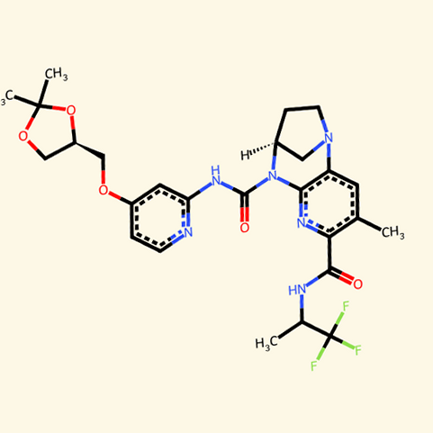 Cc1cc2c(nc1C(=O)NC(C)C(F)(F)F)N(C(=O)Nc1cc(OC[C@H]3COC(C)(C)O3)ccn1)[C@H]1CCN2C1